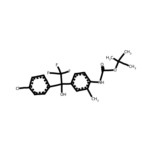 Cc1cc(C(O)(c2ccc(Cl)cc2)C(F)(F)F)ccc1NC(=O)OC(C)(C)C